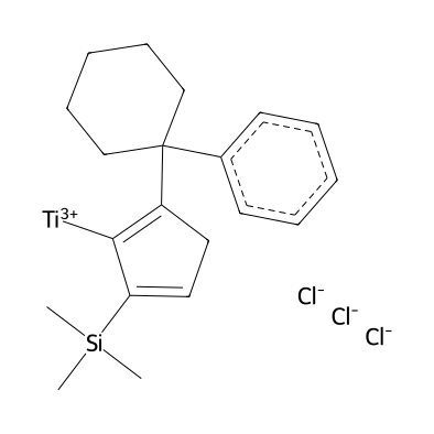 C[Si](C)(C)C1=CCC(C2(c3ccccc3)CCCCC2)=[C]1[Ti+3].[Cl-].[Cl-].[Cl-]